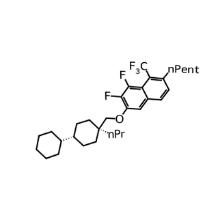 CCCCCc1ccc2cc(OC[C@]3(CCC)CC[C@@H](C4CCCCC4)CC3)c(F)c(F)c2c1C(F)(F)F